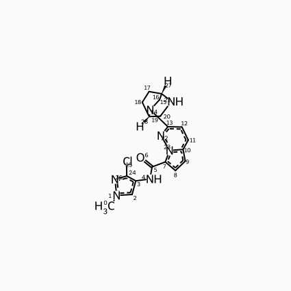 Cn1cc(NC(=O)c2ccc3ccc(N4C[C@@H]5CC[C@H]4CN5)nn23)c(Cl)n1